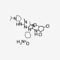 C=N/C(=N\c1c(C)nc(Nc2c(Cl)cc(Cl)cc2Cl)n1[C@H]1CC[C@@H](C(N)=O)CC1)N[C@@H]1CCCN(C(C)C)C1